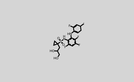 O=S(=O)(Nc1c(F)cc(F)c(F)c1NC1=CCC(I)C=C1F)C1(CC(O)CO)CC1